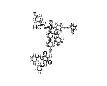 Cn1ccnc1C#Cc1ccc(N2C(=O)[C@H](CC[C@H](O)c3ccc(F)cc3)[C@H]2c2ccc(-c3ccc(C#CCC(C(=O)OCc4ccccc4)C(=O)OCc4ccccc4)cc3)cc2OCc2ccccc2)cc1